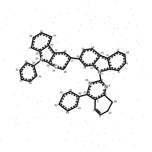 C1=Cc2c(nc(-n3c4ccccc4c4ccc(-c5ccc6c(c5)c5ccccc5n6-c5ccccc5)cc43)nc2-c2ccccc2)CC1